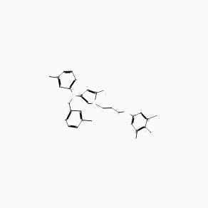 Cc1cccc(CN(c2cccc(C)c2)c2cc(C(=O)O)n(CCCOc3cc(C)c(Cl)c(C)c3)c2)c1